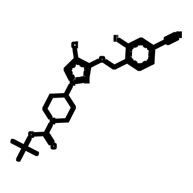 CC(C)(C)OC(=O)N1CCC(n2cc(Cl)c(OCc3ccc(C#N)cc3F)n2)CC1